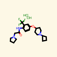 Cl.Cl.O=C(CN1CCCC1)Nc1ccc(OC2CCN(C3CCC3)CC2)cc1C(F)(F)F